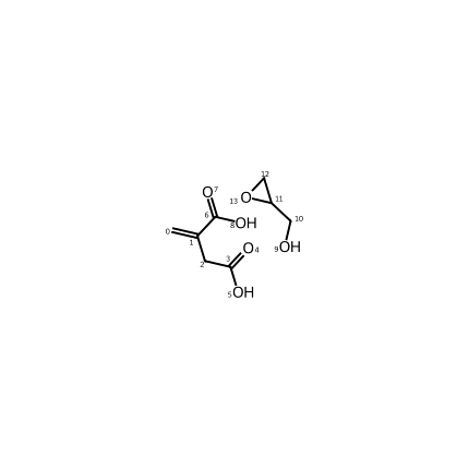 C=C(CC(=O)O)C(=O)O.OCC1CO1